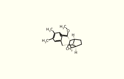 CCN1[C@H]2CC[C@@H]1[C@@H](C(=O)OC)[C@@H](Cc1ccc(C)c(C)c1)C2